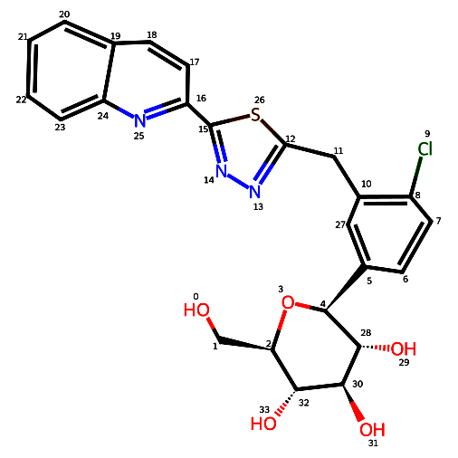 OC[C@H]1O[C@@H](c2ccc(Cl)c(Cc3nnc(-c4ccc5ccccc5n4)s3)c2)[C@H](O)[C@@H](O)[C@@H]1O